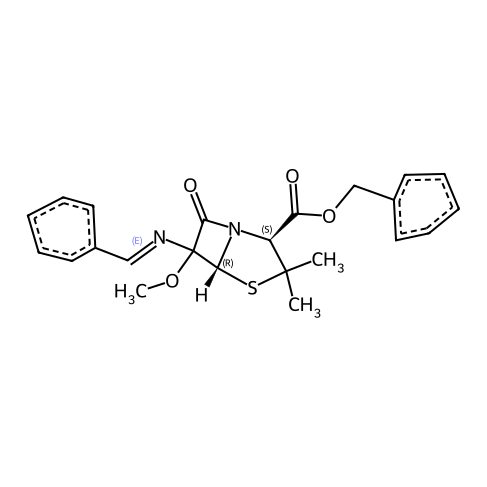 COC1(/N=C/c2ccccc2)C(=O)N2[C@@H](C(=O)OCc3ccccc3)C(C)(C)S[C@@H]21